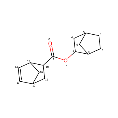 O=C(OC1CC2CCC1C2)C1CC2C=CC1C2